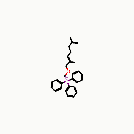 C=C(C)CC/C=C(\C)COC[PH](c1ccccc1)(c1ccccc1)c1ccccc1